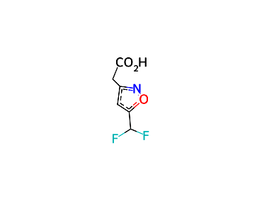 O=C(O)Cc1cc(C(F)F)on1